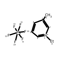 CC[n+]1cccc(C)c1.F[P-](F)(F)(F)(F)F